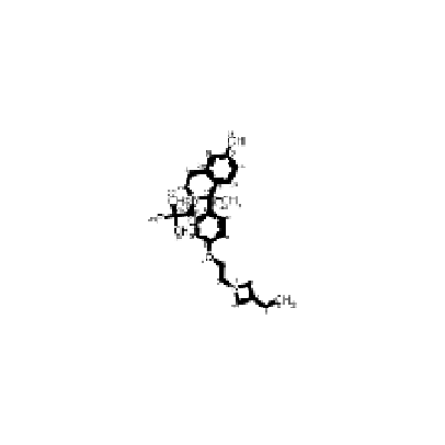 CCC1CN(CCOc2ccc([C@@]3(C)c4ccc(O)cc4CCN3C(=O)C(C)(C)F)cc2)C1